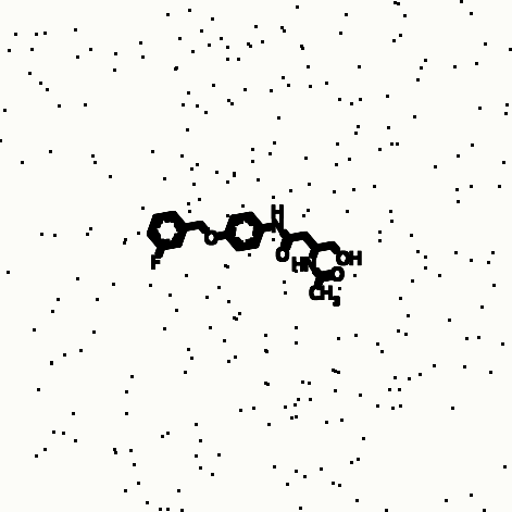 CC(=O)NC(CO)CC(=O)Nc1ccc(OCc2cccc(F)c2)cc1